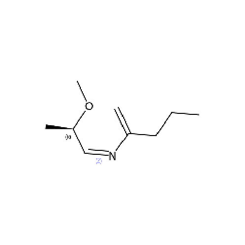 C=C(CCC)/N=C\[C@@H](C)OC